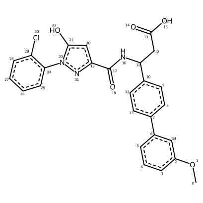 COc1cccc(-c2ccc(C(CC(=O)O)NC(=O)c3cc(O)n(-c4ccccc4Cl)n3)cc2)c1